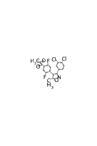 Cc1onc(-c2ccc(Cl)c(Cl)c2)c1-c1cc(F)c(S(C)(=O)=O)cc1F